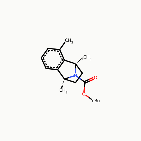 CCCCOC(=O)N1[C@@]2(C)CC[C@]1(C)c1c(C)cccc12